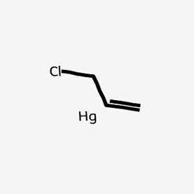 C=CCCl.[Hg]